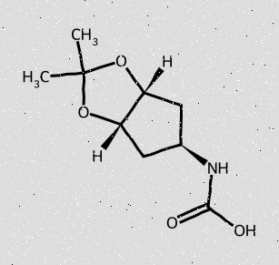 CC1(C)O[C@H]2C[C@H](NC(=O)O)C[C@H]2O1